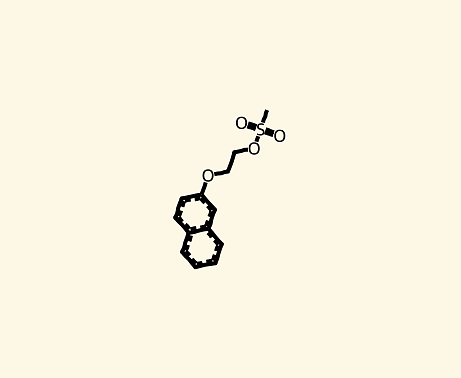 CS(=O)(=O)OCCOc1ccc2ccccc2c1